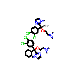 CCCC(OCCN(C)C)(c1ccc(Cl)c(Cl)c1)c1nccn1C.CN(C)CCOC(c1ccc(Cl)c(Cl)c1)(c1nccn1C)C1CCCCC1